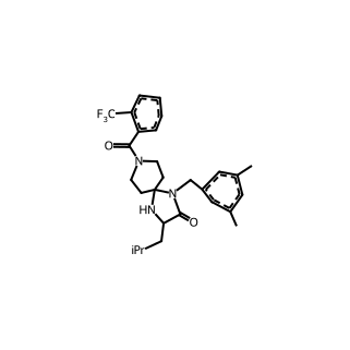 Cc1cc(C)cc(CN2C(=O)C(CC(C)C)NC23CCN(C(=O)c2ccccc2C(F)(F)F)CC3)c1